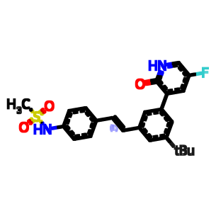 CC(C)(C)c1cc(/C=C/c2ccc(NS(C)(=O)=O)cc2)cc(-c2cc(F)c[nH]c2=O)c1